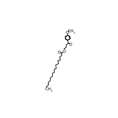 CCCCCCCCCCCCCCCCCC(=O)OCCCC(=O)c1ccc(OC)cc1